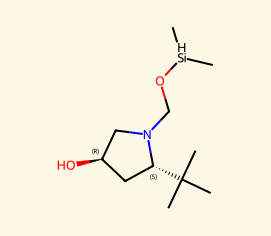 C[SiH](C)OCN1C[C@H](O)C[C@H]1C(C)(C)C